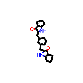 O=C1C(=Cc2cccc(C=C3Nc4ccccc4C3=O)c2)Nc2ccccc21